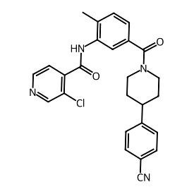 Cc1ccc(C(=O)N2CCC(c3ccc(C#N)cc3)CC2)cc1NC(=O)c1ccncc1Cl